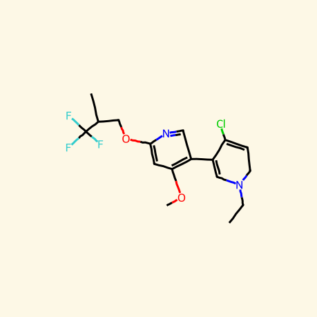 CCN1C=C(c2cnc(OCC(C)C(F)(F)F)cc2OC)C(Cl)=CC1